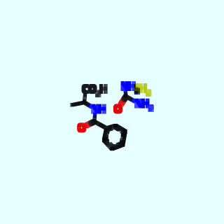 CC(NC(=O)c1ccccc1)C(=O)O.NC(N)=O.S